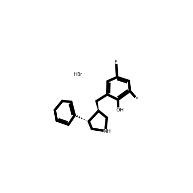 Br.Oc1c(F)cc(F)cc1C[C@H]1CNC[C@@H]1C1=CCCC=C1